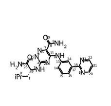 CC(C)C[C@@H](Nc1nnc(C(N)=O)c(Nc2cccc(-c3ncccn3)c2)n1)C(N)=O